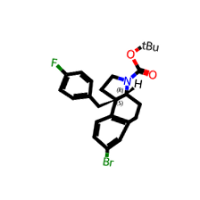 CC(C)(C)OC(=O)N1CC[C@@]2(Cc3ccc(F)cc3)c3ccc(Br)cc3CC[C@@H]12